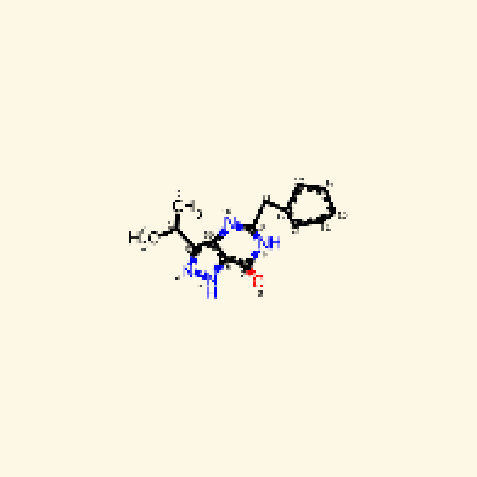 CC(C)c1n[nH]c2c(=O)[nH]c(Cc3ccccc3)nc12